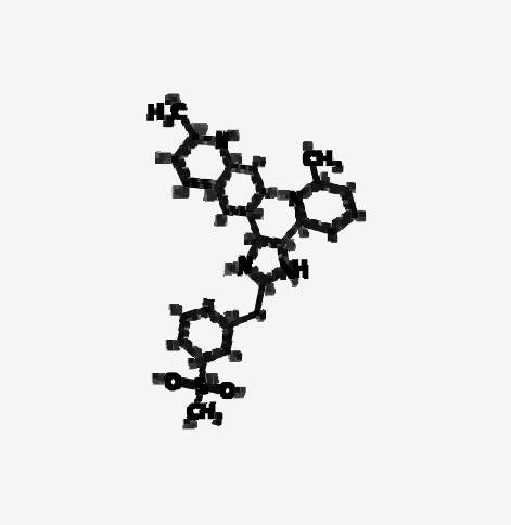 Cc1cccc(-c2[nH]c(Cc3cccc(S(C)(=O)=O)c3)nc2-c2ccc3nc(C)ccc3c2)n1